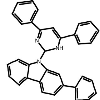 C1=C(c2ccccc2)NC(n2c3ccccc3c3ccc(-c4ccccc4)cc32)N=C1c1ccccc1